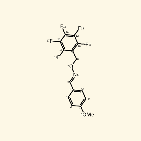 COc1ccc([C]=NOCc2c(F)c(F)c(F)c(F)c2F)cc1